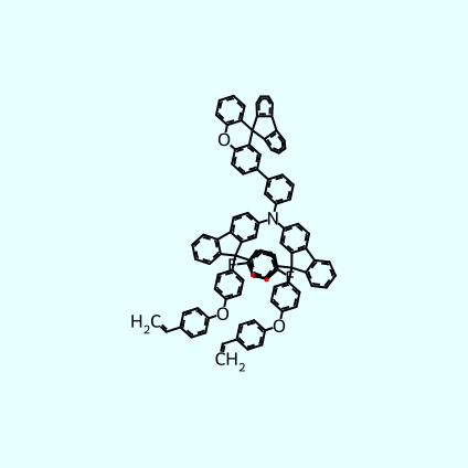 C=Cc1ccc(Oc2ccc(C3(c4ccc(F)cc4)c4ccccc4-c4ccc(N(c5cccc(-c6ccc7c(c6)C6(c8ccccc8O7)c7ccccc7-c7ccccc76)c5)c5ccc6c(c5)C(c5ccc(F)cc5)(c5ccc(Oc7ccc(C=C)cc7)cc5)c5ccccc5-6)cc43)cc2)cc1